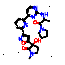 CC(Nc1nccc(-c2cccc(-c3cc([C@]4(O)CCN(C)C4=O)on3)n2)n1)C(=O)N1CCCC1